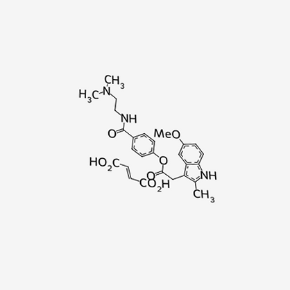 COc1ccc2[nH]c(C)c(CC(=O)Oc3ccc(C(=O)NCCN(C)C)cc3)c2c1.O=C(O)C=CC(=O)O